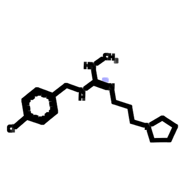 CN/C(=N/CCCN1CCCC1)NCc1ccc(Cl)cc1